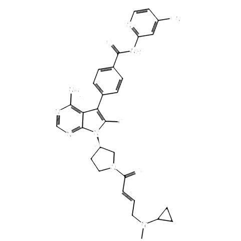 CN(C/C=C/C(=O)N1CC[C@@H](n2c(F)c(-c3ccc(C(=O)Nc4cc(C#N)ccn4)cc3)c3c(N)ncnc32)C1)C1CC1